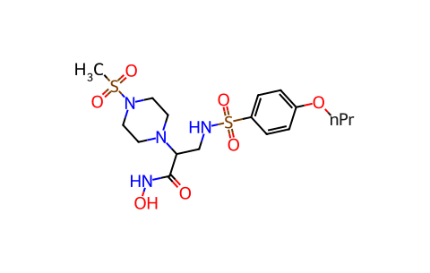 CCCOc1ccc(S(=O)(=O)NCC(C(=O)NO)N2CCN(S(C)(=O)=O)CC2)cc1